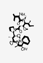 CC[C@H](C)C([C@@H](CC(=O)N1CCC[C@H]1[C@H](OC)[C@@H](C)C(=O)N[C@H](C)[C@@H](O)c1ccccc1)OC)N(C)C(=O)[C@@H](N)C(C)C